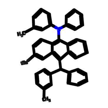 Cc1cccc(C(c2ccccc2)c2c3ccccc3c(N(c3ccccc3)c3cccc(C)c3)c3ccc(C(C)(C)C)cc23)c1